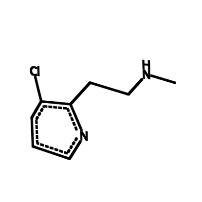 CNCCc1ncccc1Cl